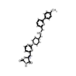 Cc1ccc(-c2cccc(CNCC3CCN(c4nccc(/C=C5\SC(=O)NC5=O)n4)CC3)n2)cc1